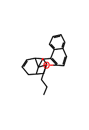 CCCC1Oc2ccc3ccccc3c2CC12C1C=CCC2CCC1